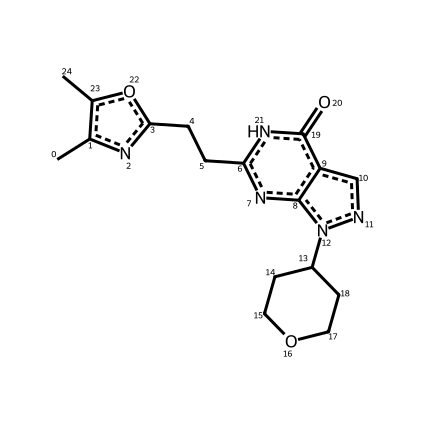 Cc1nc(CCc2nc3c(cnn3C3CCOCC3)c(=O)[nH]2)oc1C